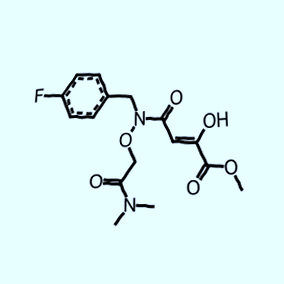 COC(=O)C(O)=CC(=O)N(Cc1ccc(F)cc1)OCC(=O)N(C)C